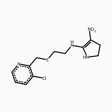 O=[N+]([O-])C1=C(NCCSCc2ncccc2Cl)NCC1